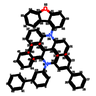 c1ccc(-c2cccc(N(c3cccc(-c4ccccc4)c3)c3ccccc3-c3ccccc3N(c3cccc(-c4ccccc4)c3)c3cccc4oc5ccccc5c34)c2)cc1